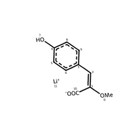 COC(=Cc1ccc(O)cc1)C(=O)[O-].[Li+]